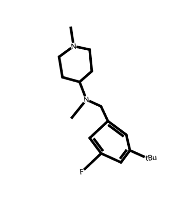 CN1CCC(N(C)Cc2cc(F)cc(C(C)(C)C)c2)CC1